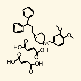 COc1ccc(CN2CCN(CCC(c3ccccc3)c3ccccc3)CC2)cc1OC.O=C(O)C=CC(=O)O.O=C(O)C=CC(=O)O